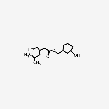 CCC(CC(=O)OCC1CCCC(O)C1)CC(C)C